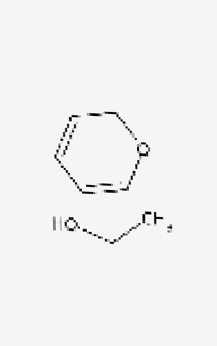 C1=CCOC=C1.CCO